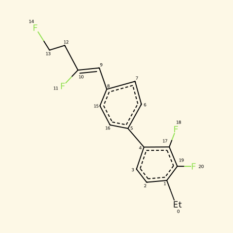 CCc1ccc(-c2ccc(/C=C(\F)CCF)cc2)c(F)c1F